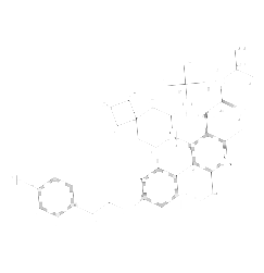 Cc1nc(CO)c(-c2ccc(OCCc3ccc(F)cc3)cc2)c(N2CCC3(CCC3)CC2)c1[C@H](OC(C)(C)C)C(=O)OC(C)C